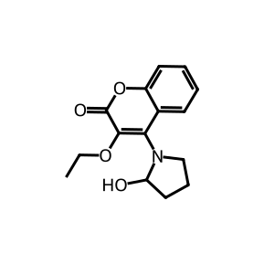 CCOc1c(N2CCCC2O)c2ccccc2oc1=O